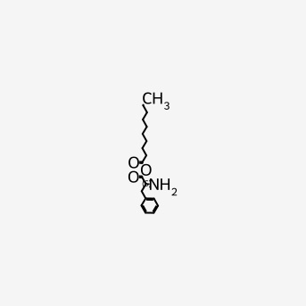 CCCCCCCCCC(=O)OC(=O)[C@@H](N)Cc1ccccc1